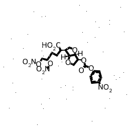 O=C(Oc1ccc([N+](=O)[O-])cc1)O[C@H]1CO[C@H]2[C@H]1OC[C@@H]2C(CCC(CO[N+](=O)[O-])O[N+](=O)[O-])C(=O)O